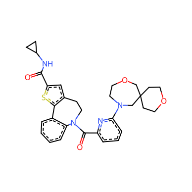 O=C(NC1CC1)c1cc2c(s1)-c1ccccc1N(C(=O)c1cccc(N3CCOCC4(CCOCC4)C3)n1)CC2